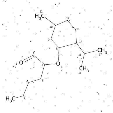 CCCCC([C]=O)OC1CC(C)CCC1C(C)C